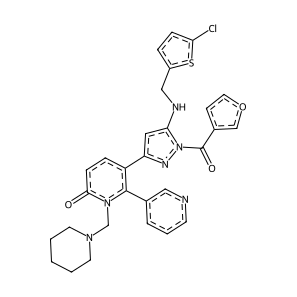 O=C(c1ccoc1)n1nc(-c2ccc(=O)n(CN3CCCCC3)c2-c2cccnc2)cc1NCc1ccc(Cl)s1